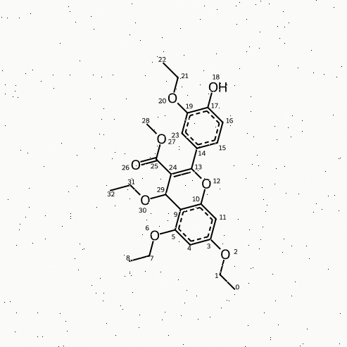 CCOc1cc(OCC)c2c(c1)OC(c1ccc(O)c(OCC)c1)=C(C(=O)OC)C2OCC